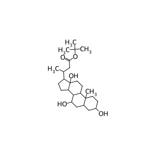 CC(CC(=O)OC(C)(C)C)C1CCC2C3C(O)CC4CC(O)CCC4(C)C3CCC12O